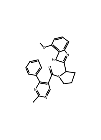 CSc1cccc2nc(C3CCCN3C(=O)c3cnc(C)nc3-c3ccccc3)[nH]c12